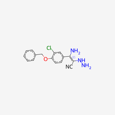 N#C/C(NN)=C(/N)c1ccc(OCc2ccccc2)c(Cl)c1